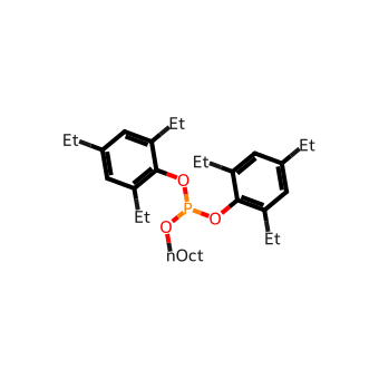 CCCCCCCCOP(Oc1c(CC)cc(CC)cc1CC)Oc1c(CC)cc(CC)cc1CC